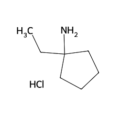 CCC1(N)CCCC1.Cl